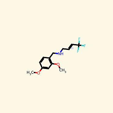 COc1ccc(CNC/C=C/C(F)(F)F)c(OC)c1